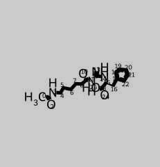 CC(=O)NCCCCCC(=O)NC(=N)N[C@@H](Cc1ccccc1)C(=O)O